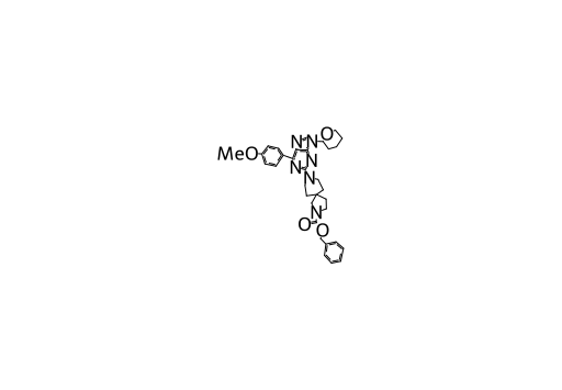 COc1ccc(-c2nc(N3CCC4(CCN(C(=O)OCc5ccccc5)C4)CC3)nc3c2ncn3C2CCCCO2)cc1